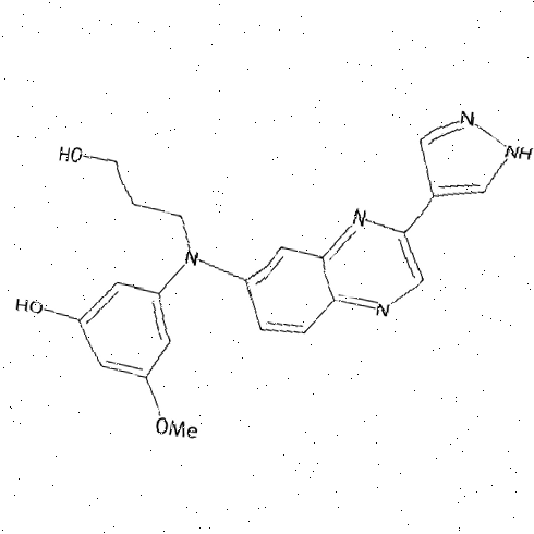 COc1cc(O)cc(N(CCCO)c2ccc3ncc(-c4cn[nH]c4)nc3c2)c1